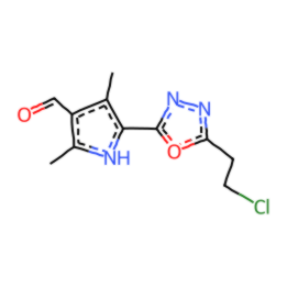 Cc1[nH]c(-c2nnc(CCCl)o2)c(C)c1C=O